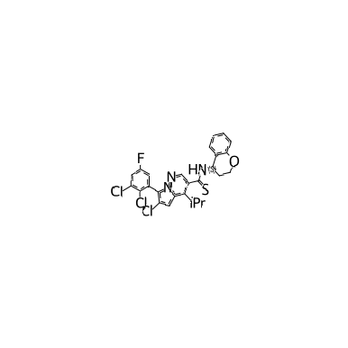 CC(C)c1c(C(=S)N[C@H]2CCOc3ccccc32)cnn2c(-c3cc(F)cc(Cl)c3Cl)c(Cl)cc12